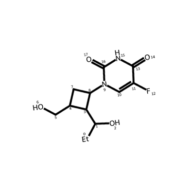 CCC(O)C1C(CO)CC1n1cc(F)c(=O)[nH]c1=O